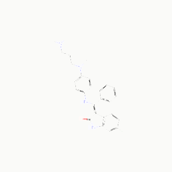 CC(=O)N(CCCN(C)C)c1ccc(N/C(=C2\C(=O)Nc3cc(Cl)ccc32)c2ccccc2)cc1